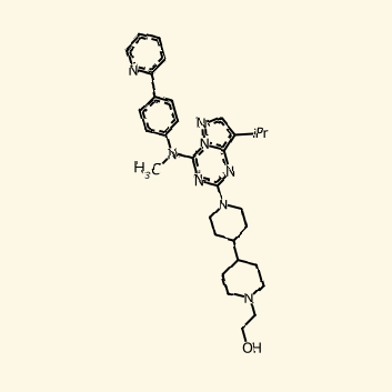 CC(C)c1cnn2c(N(C)c3ccc(-c4ccccn4)cc3)nc(N3CCC(C4CCN(CCO)CC4)CC3)nc12